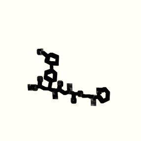 O=C(O)CC(NC(=O)CNC(=O)OCCNc1ccccn1)c1ccc(-c2cccc(Cl)c2)cc1